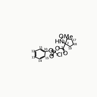 CONC1(C(=O)OP(=O)(Cl)Oc2ccccc2)CCCC1